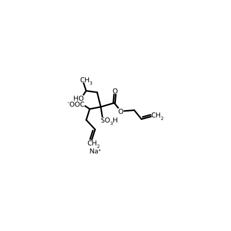 C=CCOC(=O)C(CC(C)O)(C(CC=C)C(=O)[O-])S(=O)(=O)O.[Na+]